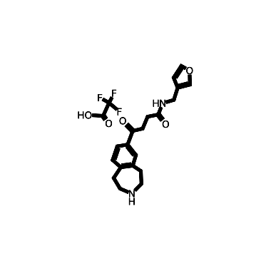 O=C(CCC(=O)c1ccc2c(c1)CCNCC2)NCc1ccoc1.O=C(O)C(F)(F)F